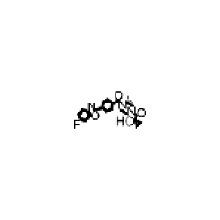 C[C@@H]1CN(C(=O)C2(O)CC2)CCN1C(=O)c1ccc(-c2nc3ccc(F)cc3o2)cc1